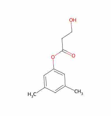 Cc1cc(C)cc(OC(=O)CCO)c1